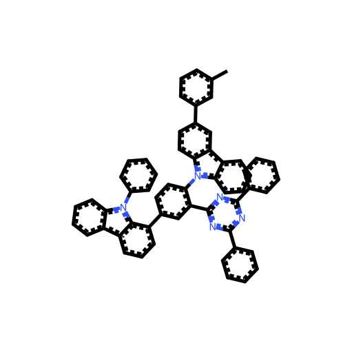 Cc1cccc(-c2ccc3c(c2)c2ccccc2n3-c2ccc(-c3cccc4c5ccccc5n(-c5ccccc5)c34)cc2-c2nc(-c3ccccc3)nc(-c3ccccc3)n2)c1